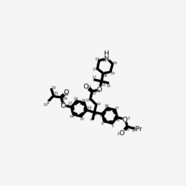 CC(C)C(=O)Oc1ccc(C(C)(CCC(=O)OC(C)(C)C2CCNCC2)c2ccc(OC(=O)C(C)I)cc2)cc1